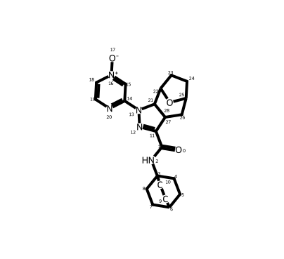 O=C(NC12CCC(CC1)CC2)C1=NN(c2c[n+]([O-])ccn2)C2C3CCC(CC12)O3